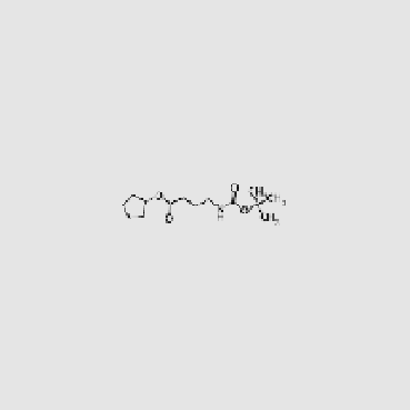 CC(C)(C)OC(=O)NCCCC(=O)OC1CCCC1